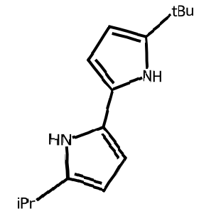 CC(C)c1ccc(-c2ccc(C(C)(C)C)[nH]2)[nH]1